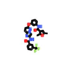 Cc1cc(C(=O)Nc2cccc(Oc3ccc4nc(NC(=O)c5cccc(C(F)(F)F)c5)cn4n3)c2)c(C)o1